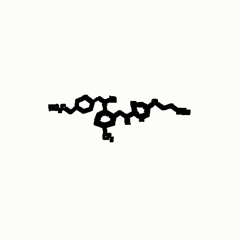 CCN(C[C@H]1CC[C@H](CC(=O)O)CC1)c1ccc(C(F)(F)F)cc1CNc1ncc(OCCSC)cn1